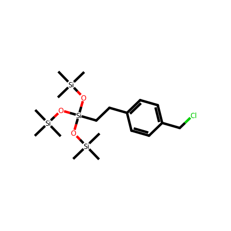 C[Si](C)(C)O[Si](CCc1ccc(CCl)cc1)(O[Si](C)(C)C)O[Si](C)(C)C